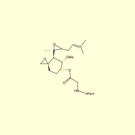 CCCCCNCC(=O)O[C@@H]1CC[C@]2(CO2)[C@@H]([C@@]2(C)OC2CC=C(C)C)[C@@H]1OC